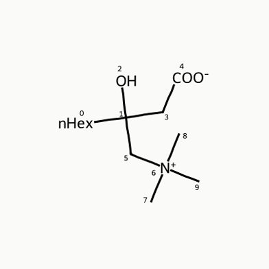 CCCCCCC(O)(CC(=O)[O-])C[N+](C)(C)C